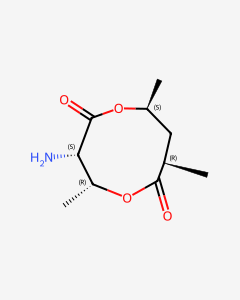 C[C@@H]1C[C@H](C)OC(=O)[C@@H](N)[C@@H](C)OC1=O